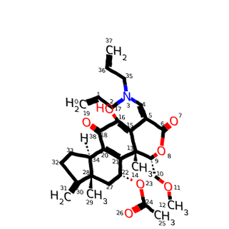 C=CCN(/C=C1/C(=O)O[C@H](COC)[C@@]2(C)C1=C(O)C(=O)C1=C2[C@H](OC(C)=O)C[C@]2(C)C(=C)CC[C@@H]12)CC=C